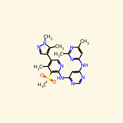 Cc1cc(Nc2cc(Nc3ncc(-c4cnn(C)c4C)c(C)c3S(C)(=O)=O)ncn2)nc(C)n1